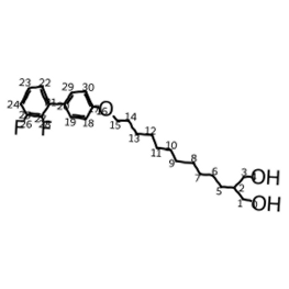 OCC(CO)CCCCCCCCCCCOc1ccc(-c2cccc(F)c2F)cc1